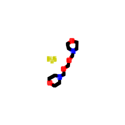 C1CN(COCOCN2CCOCC2)CCO1.S